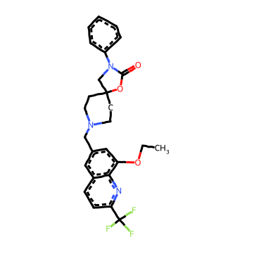 CCOc1cc(CN2CCC3(CC2)CN(c2ccccc2)C(=O)O3)cc2ccc(C(F)(F)F)nc12